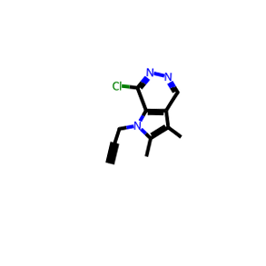 C#CCn1c(C)c(C)c2cnnc(Cl)c21